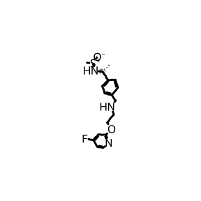 C[C@@H](N[S+](C)[O-])c1ccc(CNCCOc2cc(F)ccn2)cc1